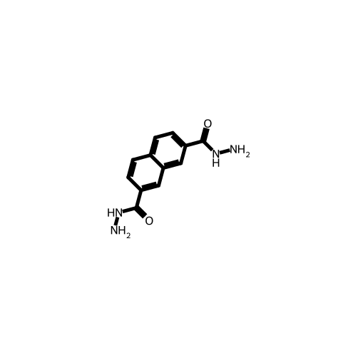 NNC(=O)c1ccc2ccc(C(=O)NN)cc2c1